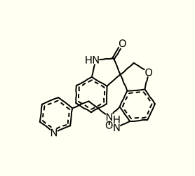 O=C1Nc2ccccc2C12COc1ccc3c(c12)N(Cc1cccnc1)ON3